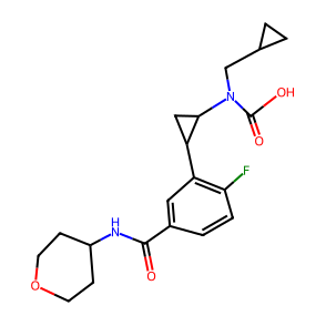 O=C(NC1CCOCC1)c1ccc(F)c(C2CC2N(CC2CC2)C(=O)O)c1